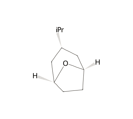 CC(C)[C@@H]1C[C@H]2CC[C@@H](C1)O2